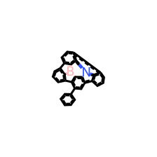 c1ccc(-c2cc3c4cccc5c6ccc7c8c6n(c3c3c2-c2cccc-7c2B83)c54)cc1